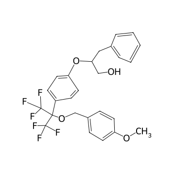 COc1ccc(COC(c2ccc(OC(CO)Cc3ccccc3)cc2)(C(F)(F)F)C(F)(F)F)cc1